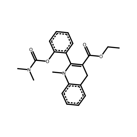 CCOC(=O)C1=C(c2ccccc2OC(=O)N(C)C)N(C)c2ccccc2C1